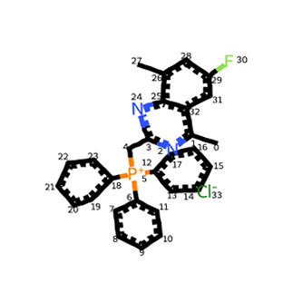 Cc1nc(C[P+](c2ccccc2)(c2ccccc2)c2ccccc2)nc2c(C)cc(F)cc12.[Cl-]